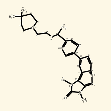 CC(C)n1c(=O)n(C)c2nnc3ccc(-c4ccc(C(OCCN5CCC(C)(C)CC5)C(F)(F)F)nc4)cc3c21